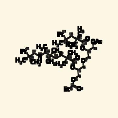 CCC(=O)OCC(COCC(COC(C)=O)OC(=O)C(C)(C)CC(C)(C)C(C)C)OC(=O)C(C)(C)CCC(C)(C)C(C)NCC(C)(C)C(C)C